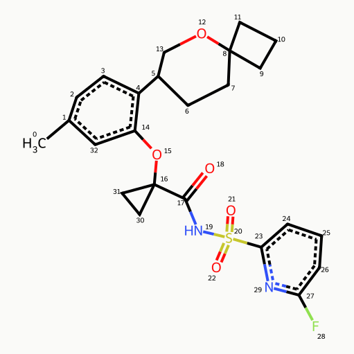 Cc1ccc(C2CCC3(CCC3)OC2)c(OC2(C(=O)NS(=O)(=O)c3cccc(F)n3)CC2)c1